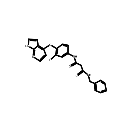 O=C(CC(=O)Nc1ccc(Oc2ccnc3[nH]ccc23)c(F)c1)NCc1ccccc1